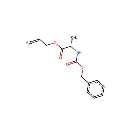 C=CCOC(=O)[C@H](C)NC(=O)OCc1ccccc1